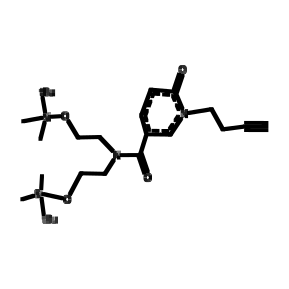 C#CCCn1cc(C(=O)N(CCO[Si](C)(C)C(C)(C)C)CCO[Si](C)(C)C(C)(C)C)ccc1=O